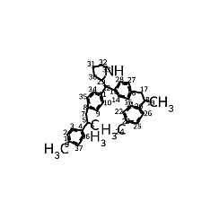 Cc1ccc(C(C)Cc2ccc(C(c3ccc(CC(C)c4ccc(C)cc4)cc3)[C@H]3CCCN3)cc2)cc1